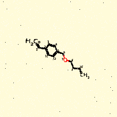 C=Cc1ccc(COCCCC)cc1